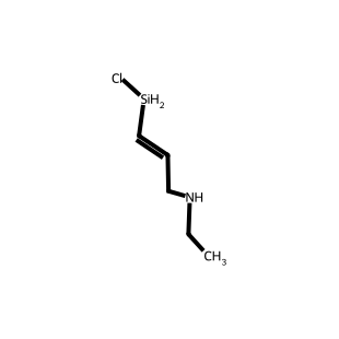 CCNCC=C[SiH2]Cl